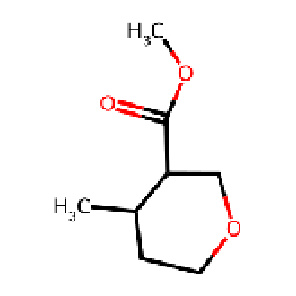 COC(=O)C1COCCC1C